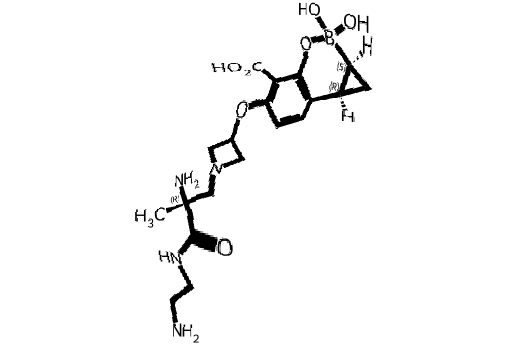 C[C@@](N)(CN1CC(Oc2ccc3c(c2C(=O)O)O[B-](O)(O)[C@H]2C[C@@H]32)C1)C(=O)NCCN